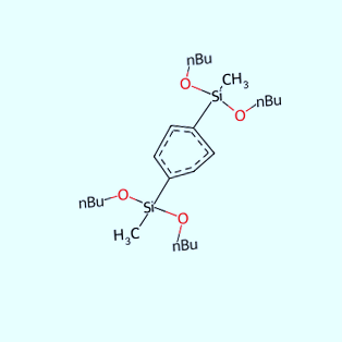 CCCCO[Si](C)(OCCCC)c1ccc([Si](C)(OCCCC)OCCCC)cc1